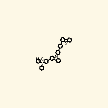 CC1CC(c2ccc3c(c2)c2ccccc2n3-c2ccc(-c3ccc(-c4cccc5c4sc4ccccc45)cc3)cc2)=CC=C1N(c1ccccc1)c1ccccc1